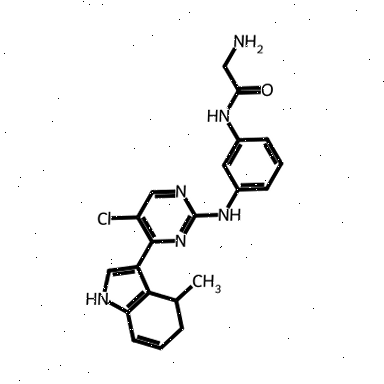 CC1CC=Cc2[nH]cc(-c3nc(Nc4cccc(NC(=O)CN)c4)ncc3Cl)c21